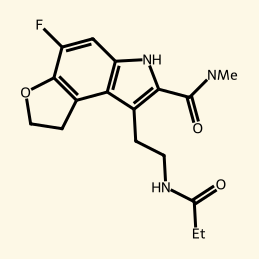 CCC(=O)NCCc1c(C(=O)NC)[nH]c2cc(F)c3c(c12)CCO3